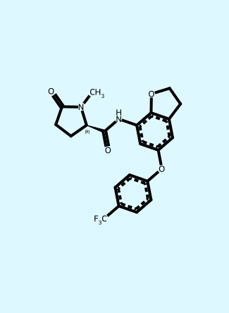 CN1C(=O)CC[C@@H]1C(=O)Nc1cc(Oc2ccc(C(F)(F)F)cc2)cc2c1OCC2